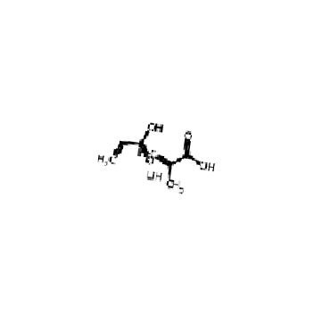 C=C(C)C(=O)O.C=CC(=O)O.[LiH]